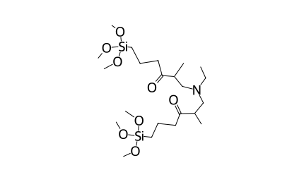 CCN(CC(C)C(=O)CCC[Si](OC)(OC)OC)CC(C)C(=O)CCC[Si](OC)(OC)OC